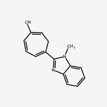 Cn1c(C2=CC=CC(C#N)=CC2)nc2ccccc21